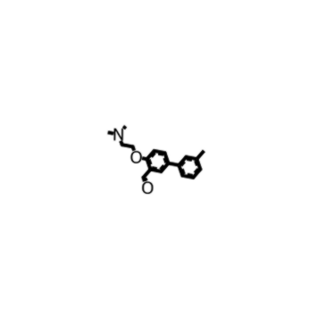 Cc1cccc(-c2ccc(OCCN(C)C)c(C=O)c2)c1